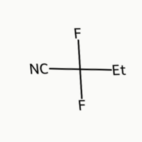 CCC(F)(F)C#N